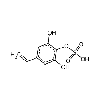 C=Cc1cc(O)c(OS(=O)(=O)O)c(O)c1